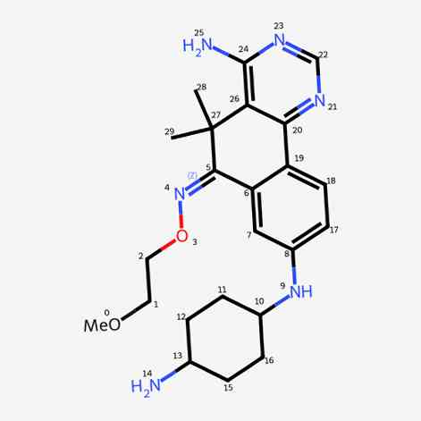 COCCO/N=C1\c2cc(NC3CCC(N)CC3)ccc2-c2ncnc(N)c2C1(C)C